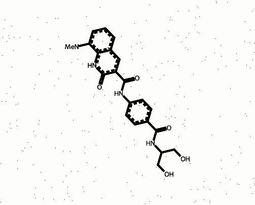 CNc1cccc2cc(C(=O)Nc3ccc(C(=O)NC(CO)CO)cc3)c(=O)[nH]c12